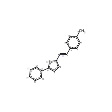 Cc1ccc(/C=C/c2ccc(-c3ccccc3)s2)cc1